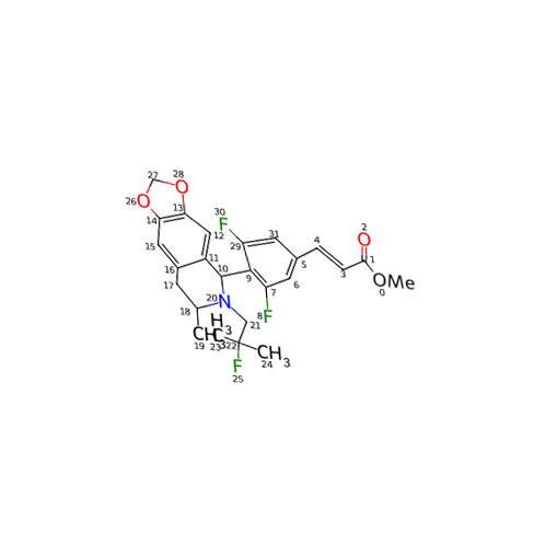 COC(=O)/C=C/c1cc(F)c(C2c3cc4c(cc3CC(C)N2CC(C)(C)F)OCO4)c(F)c1